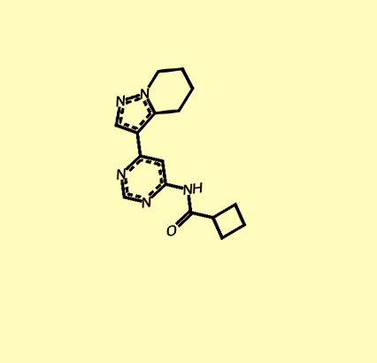 O=C(Nc1cc(-c2cnn3c2CCCC3)ncn1)C1CCC1